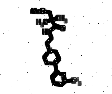 COCC(C)(C)C(=O)NCCN1CC=C(c2cccc(C(F)(F)F)n2)CC1